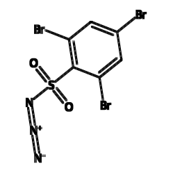 [N-]=[N+]=NS(=O)(=O)c1c(Br)cc(Br)cc1Br